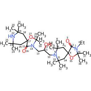 CCN1C(=O)C2(CC(C)(C)N(CC(O)CN3C(=O)C4(CC(C)(C)NC(C)(C)C4)OC3(C)C)C(C)(C)C2)OC1(C)C